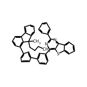 CCCCC1(C)c2ccccc2-c2cccc(-c3cccc(-c4cccc(-c5nc(-c6ccccc6)nc6c5sc5ccccc56)c4)c3)c21